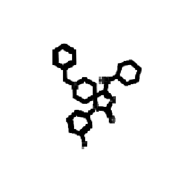 O=C1N=C(NC2CCCCC2)C2(CCN(Cc3ccccc3)CC2)N1c1cccc(F)c1